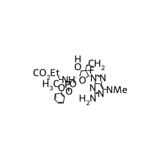 C=C[C@@]1(F)[C@H](O)[C@@H](CO[P@@](=O)(NC(C)C(=O)OCC)Oc2ccccc2)O[C@H]1n1cnc2c(NC)nc(N)nc21